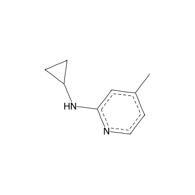 Cc1ccnc(NC2CC2)c1